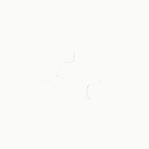 CCOC(N)=O.NC(N)=[Se]